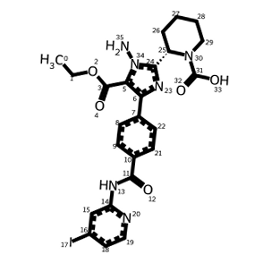 CCOC(=O)c1c(-c2ccc(C(=O)Nc3cc(I)ccn3)cc2)nc([C@@H]2CCCCN2C(=O)O)n1N